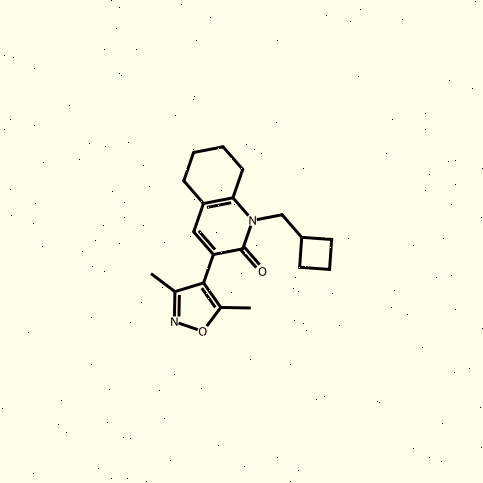 Cc1noc(C)c1-c1cc2c(n(CC3CCC3)c1=O)CCCC2